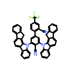 N#Cc1cc(C(F)(F)F)ccc1-c1cc(-n2c3ccccc3c3ccc4c(c32)Cc2ccccc2-4)c(C#N)c(-n2c3ccccc3c3ccc4c(c32)Cc2ccccc2-4)c1